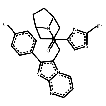 CC(C)c1nc(C(=O)N2C3CCC2CN(Cc2c(-c4ccc(Cl)cc4)nc4ncccn24)C3)cs1